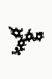 CCS(=O)(=O)Nc1ccc(Oc2ccc(F)cc2F)c(-c2cc(C)nc(OC3CCNC3)c2)c1